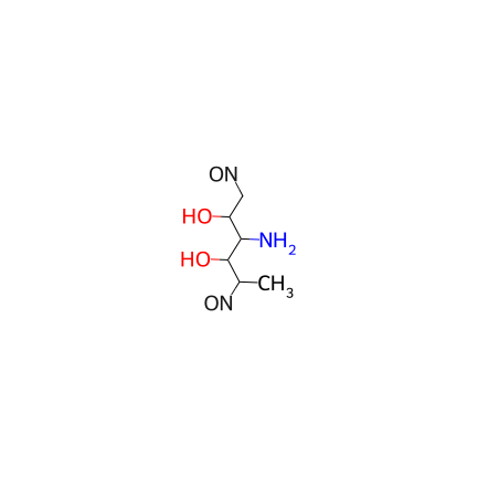 CC(N=O)C(O)C(N)C(O)CN=O